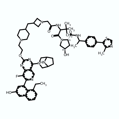 CCc1cccc2cc(O)cc(-c3ncc4c(N5CC6CCC(C5)N6)nc(OCCN5CCC(CC6CN(CC(=O)NC(C(=O)N7C[C@H](O)C[C@H]7C(=O)NC(C)c7ccc(-c8scnc8C)cc7)C(C)(C)C)C6)CC5)nc4c3F)c12